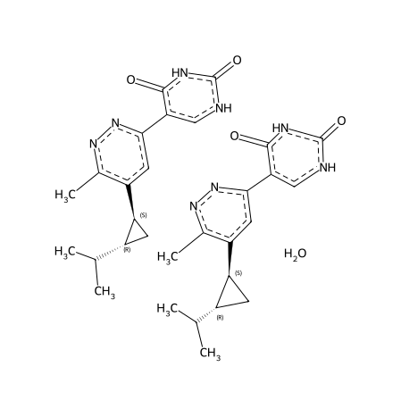 Cc1nnc(-c2c[nH]c(=O)[nH]c2=O)cc1[C@H]1C[C@@H]1C(C)C.Cc1nnc(-c2c[nH]c(=O)[nH]c2=O)cc1[C@H]1C[C@@H]1C(C)C.O